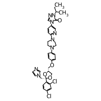 CCC(C)n1ncn(-c2ccc(N3CCN(c4ccc(OC[C@@H]5CO[C@@](Cn6ccnc6)(c6ccc(Cl)cc6Cl)O5)cc4)CC3)nc2)c1=O